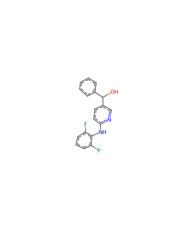 OC(c1ccccc1)c1ccc(Nc2c(F)cccc2F)nc1